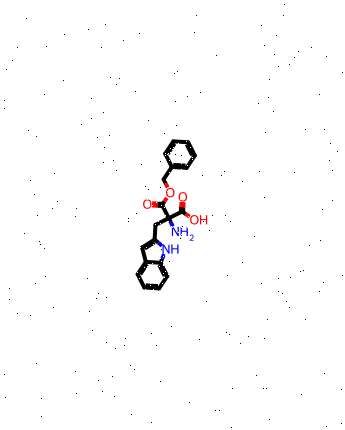 NC(Cc1cc2ccccc2[nH]1)(C(=O)O)C(=O)OCc1ccccc1